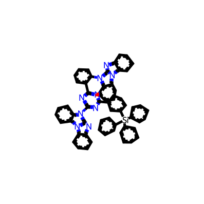 c1ccc([Si](c2ccccc2)(c2ccccc2)c2cccc(-c3nc(-c4ccccc4-n4c5ccccc5n5c6ccccc6nc45)nc(-n4c5ccccc5n5c6ccccc6nc45)n3)c2)cc1